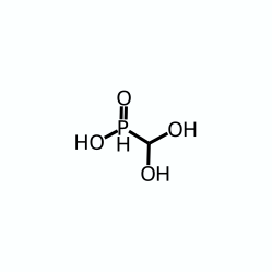 O=[PH](O)C(O)O